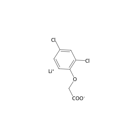 O=C([O-])COc1ccc(Cl)cc1Cl.[Li+]